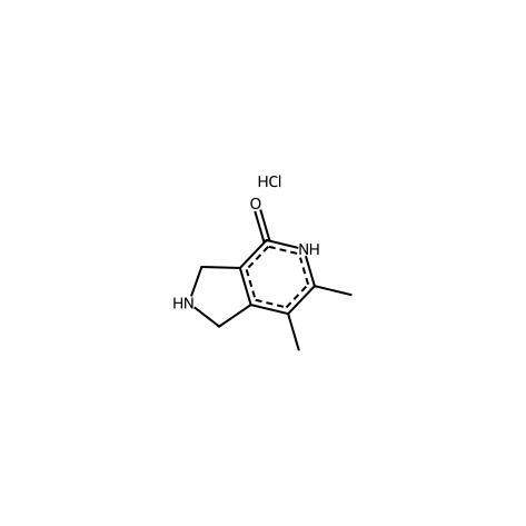 Cc1[nH]c(=O)c2c(c1C)CNC2.Cl